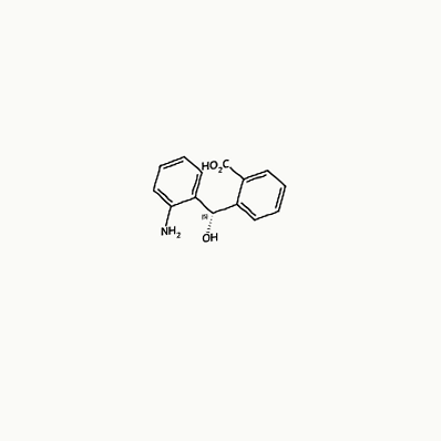 Nc1ccccc1[C@@H](O)c1ccccc1C(=O)O